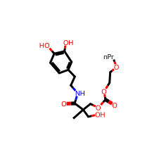 CCCOCCOC(=O)OCC(C)(CO)C(=O)NCCc1ccc(O)c(O)c1